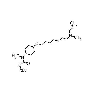 C=CCN(C)CCCCCCCO[C@H]1CC[C@H](N(C)C(=O)OC(C)(C)C)CC1